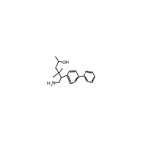 CC(O)CC(C)(C)C(CN)c1ccc(-c2ccccc2)cc1